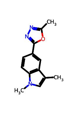 Cc1nnc(-c2ccc3c(c2)c(C)cn3C)o1